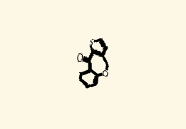 O=C1c2ccccc2OCc2ccsc21